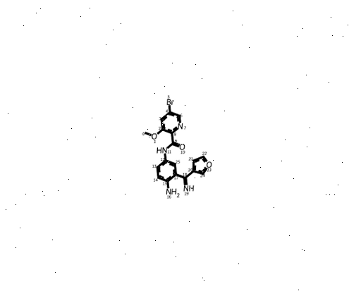 COc1cc(Br)cnc1C(=O)Nc1ccc(N)c(C(=N)c2ccoc2)c1